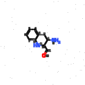 NC1Cc2ccccc2NC1C=O